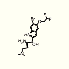 CN(C)C/C=C(\N)C(O)c1cc2cc(OCC(F)F)c(Br)cc2[nH]1